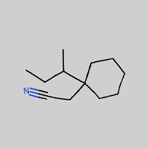 CCC(C)C1(CC#N)CCCCC1